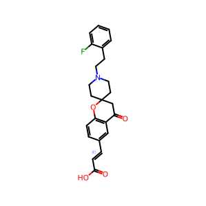 O=C(O)/C=C/c1ccc2c(c1)C(=O)CC1(CCN(CCc3ccccc3F)CC1)O2